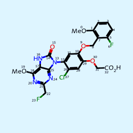 COc1cccc(F)c1COc1cc(-n2c(=O)[nH]c3c(OC)nc(CF)nc32)c(Cl)cc1OCC(=O)O